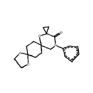 O=C1N(c2ccccc2)CC2(CCC3(CC2)OCCO3)OC12CC2